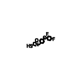 O=C1CC(S)CN1Cc1ccc(Oc2ccc(F)cc2F)cc1